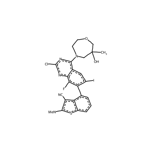 CNc1sc2cccc(-c3c(I)cc4c(N5CCOCC(C)(O)C5)nc(Cl)nc4c3F)c2c1C#N